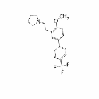 COc1ccc(-c2ccc(C(F)(F)F)cc2)cc1CCN1CCCC1